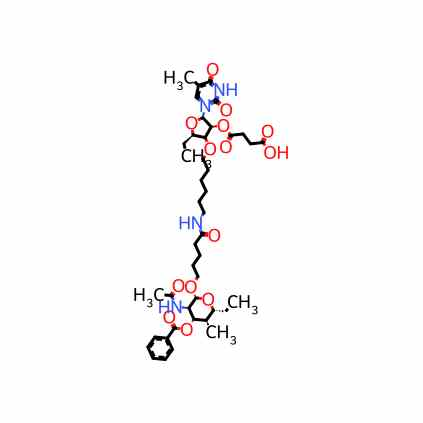 CC[C@H]1O[C@@H](n2cc(C)c(=O)[nH]c2=O)[C@@H](OC(=O)CCC(=O)O)C1OCCCCCCNC(=O)CCCCO[C@@H]1O[C@H](CC)[C@H](C)[C@H](OC(=O)c2ccccc2)[C@H]1NC(C)=O